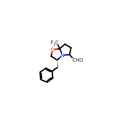 O=CC1CCC2(C(F)(F)F)OC[C@@H](Cc3ccccc3)N12